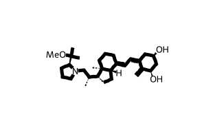 C=C1/C(=C\C=C2/CCC[C@]3(C)[C@@H]([C@H](C)CN4CCC[C@H]4C(C)(C)OC)CC[C@@H]23)C[C@@H](O)C[C@@H]1O